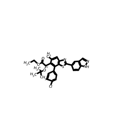 CCOC(=O)[C@@H](OC(C)(C)C)c1c(C)cc2nc(-c3ccc4[nH]ncc4c3)sc2c1-c1ccc(Cl)cc1